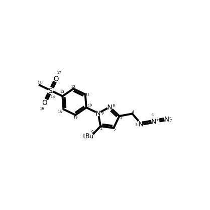 CC(C)(C)c1cc(CN=[N+]=[N-])nn1-c1ccc(S(C)(=O)=O)cc1